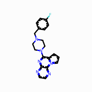 Fc1ccc(CN2CCN(c3nc4nccnc4n4cccc34)CC2)cc1